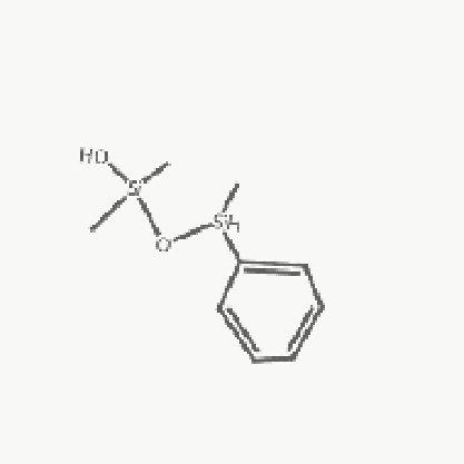 C[SiH](O[Si](C)(C)O)c1ccccc1